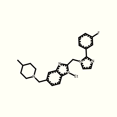 CCn1c(Cn2ccnc2-c2cccc(F)c2)nc2cc(CN3CCC(C)CC3)ccc21